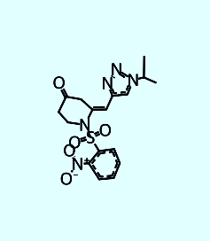 CC(C)n1cc(C=C2CC(=O)CCN2S(=O)(=O)c2ccccc2[N+](=O)[O-])nn1